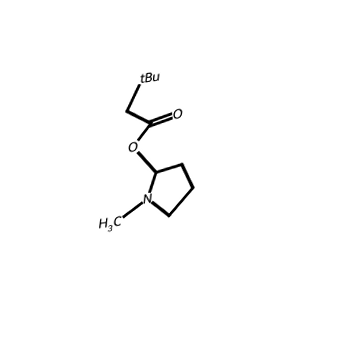 CN1CCCC1OC(=O)CC(C)(C)C